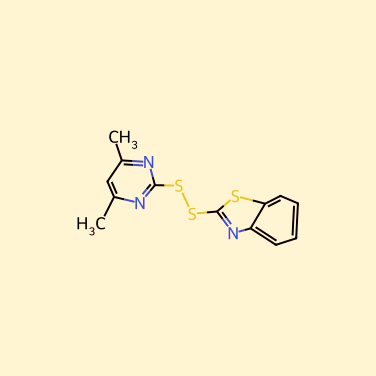 Cc1cc(C)nc(SSc2nc3ccccc3s2)n1